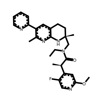 CCN(C[C@@]1(C)CCc2cc(-c3ccccn3)c(C)nc2N1)C(=O)[C@H](C)c1cc(OC)ncc1F